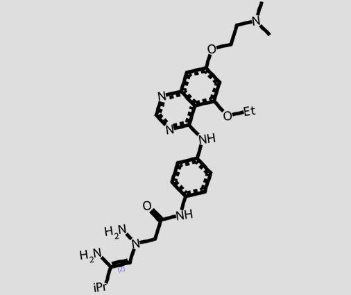 CCOc1cc(OCCN(C)C)cc2ncnc(Nc3ccc(NC(=O)CN(N)/C=C(\N)C(C)C)cc3)c12